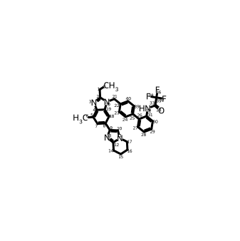 CCc1nc2c(C)cc(-c3cn4c(n3)CCCC4)cc2n1Cc1ccc(-c2ccccc2NC(=O)C(F)(F)F)cc1